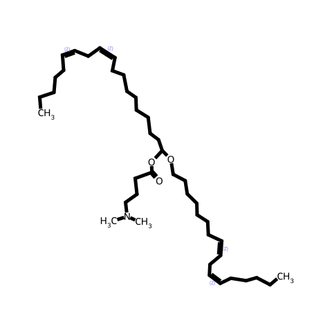 CCCCC/C=C\C/C=C\CCCCCCCCC(OCCCCCCC/C=C\C/C=C\CCCCC)OC(=O)CCCN(C)C